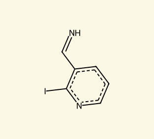 N=Cc1cccnc1I